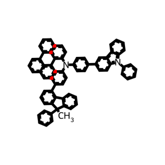 CC1(c2ccccc2)c2ccccc2-c2c(-c3ccc(N(c4ccc(-c5ccc6c(c5)c5ccccc5n6-c5ccccc5)cc4)c4ccccc4-c4cccc5cccc(-c6ccccc6)c45)cc3)cccc21